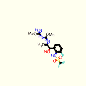 C=C(/N=C(\N=C(/N)OC)OC)C(O)c1cccc(F)c1NS(=O)(=O)C(F)F